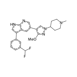 COc1nn(C2CCN(C)CC2)cc1-c1cnc2[nH]cc(-c3cccc(C(F)F)c3)c2c1